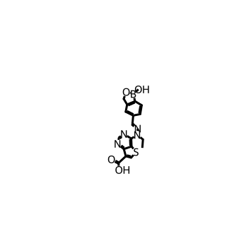 CCN(/N=C/c1ccc2c(c1)COB2O)c1ncnc2c(C(=O)O)csc12